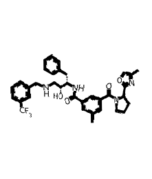 Cc1cc(C(=O)N[C@@H](Cc2ccccc2)[C@H](O)CNCc2cccc(C(F)(F)F)c2)cc(C(=O)N2CCCC2c2nc(C)co2)c1